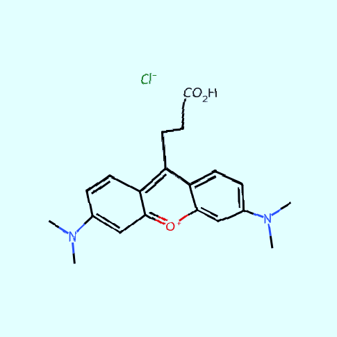 CN(C)c1ccc2c(CCC(=O)O)c3ccc(N(C)C)cc3[o+]c2c1.[Cl-]